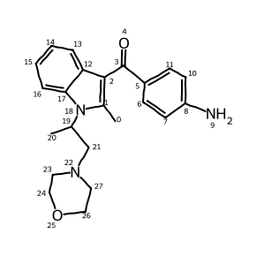 Cc1c(C(=O)c2ccc(N)cc2)c2ccccc2n1C(C)CN1CCOCC1